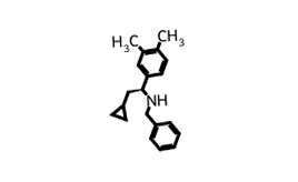 Cc1ccc([C@H](CC2CC2)NCc2ccccc2)cc1C